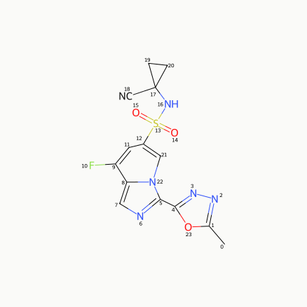 Cc1nnc(-c2ncc3c(F)cc(S(=O)(=O)NC4(C#N)CC4)cn23)o1